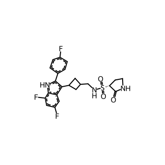 O=C1NCC[C@H]1S(=O)(=O)NCC1CC(c2c(-c3ccc(F)cc3)[nH]c3c(F)cc(F)cc23)C1